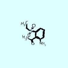 CCS(=O)(=O)c1cccc(N)c1C(N)=O